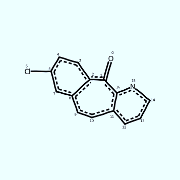 O=c1c2ccc(Cl)cc2ccc2cccnc12